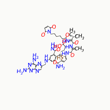 CC(C)[C@H](NC(=O)CCCCCN1C(=O)C=CC1=O)C(=O)N[C@@H](C)C(=O)NC1=CC=C(C(N)=O)[SH]1[C@@H](CCCC(=O)O)c1ccc(NCc2cnc3nc(N)nc(N)c3n2)cc1C(N)=O